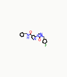 O=C(NCc1ccccc1)c1ccnc(-n2cnn(Cc3ccc(F)cc3)c2=O)c1